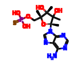 CC1(O)[C@](C)(n2cnc3c(N)ncnc32)O[C@](C)(COP(O)(O)=S)[C@]1(C)O